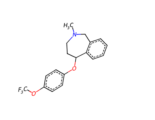 CN1CCC(Oc2ccc(OC(F)(F)F)cc2)c2ccccc2C1